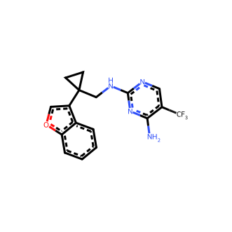 Nc1nc(NCC2(c3coc4ccccc34)CC2)ncc1C(F)(F)F